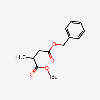 [CH2]C(CC(=O)OCc1ccccc1)C(=O)OC(C)(C)C